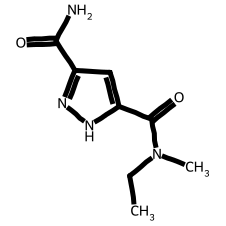 CCN(C)C(=O)c1cc(C(N)=O)n[nH]1